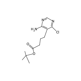 CC(C)(C)OC(=O)CCCc1c(N)ncnc1Cl